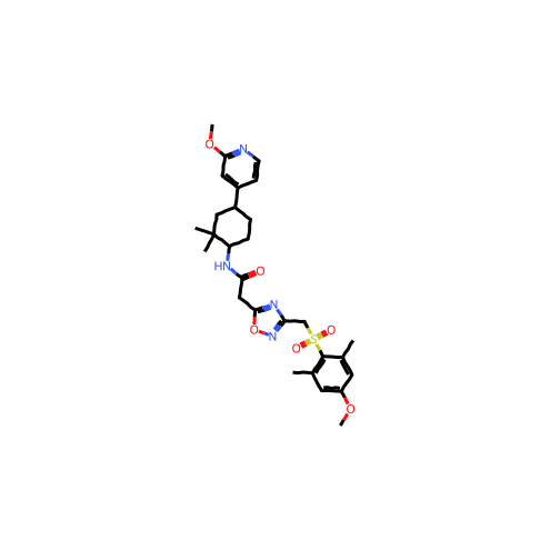 COc1cc(C)c(S(=O)(=O)Cc2noc(CC(=O)NC3CCC(c4ccnc(OC)c4)CC3(C)C)n2)c(C)c1